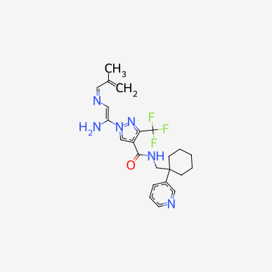 C=C(C)/C=N\C=C(/N)n1cc(C(=O)NCC2(c3cccnc3)CCCCC2)c(C(F)(F)F)n1